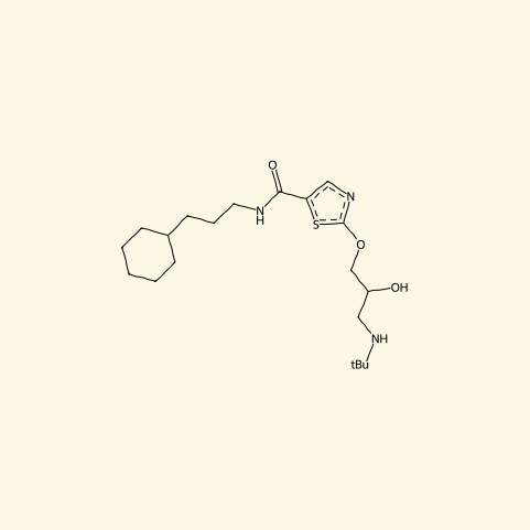 CC(C)(C)NCC(O)COc1ncc(C(=O)NCCCC2CCCCC2)s1